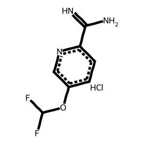 Cl.N=C(N)c1ccc(OC(F)F)cn1